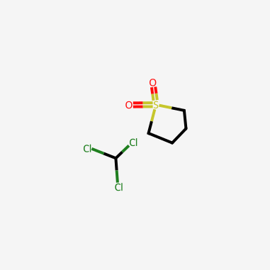 ClC(Cl)Cl.O=S1(=O)CCCC1